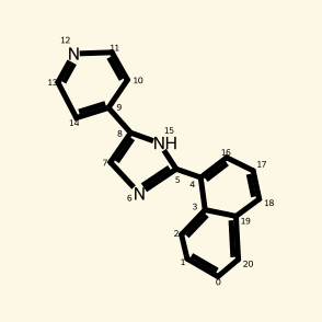 c1ccc2c(-c3ncc(-c4ccncc4)[nH]3)cccc2c1